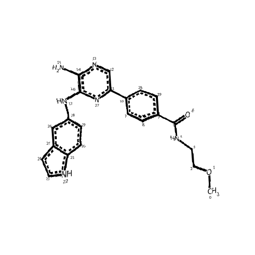 COCCNC(=O)c1ccc(-c2cnc(N)c(Nc3ccc4[nH]ccc4c3)n2)cc1